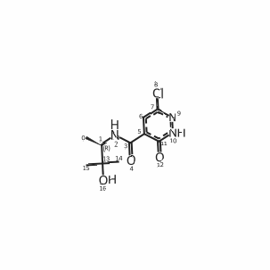 C[C@@H](NC(=O)c1cc(Cl)n[nH]c1=O)C(C)(C)O